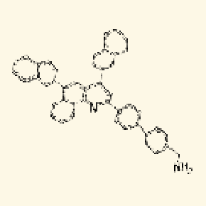 NCc1ccc(-c2ccc(-c3cc(-c4ccc5ccccc5c4)c4cc(-c5ccc6ccccc6c5)c5ccccc5c4n3)cc2)cc1